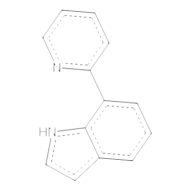 c1ccc(-c2cccc3cc[nH]c23)nc1